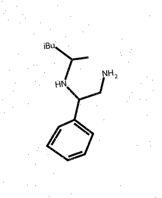 CCC(C)C(C)NC(CN)c1ccccc1